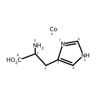 NC(Cc1c[nH]cn1)C(=O)O.[Co]